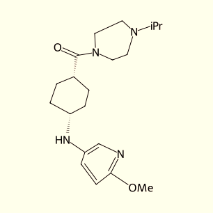 COc1ccc(N[C@H]2CC[C@@H](C(=O)N3CCN(C(C)C)CC3)CC2)cn1